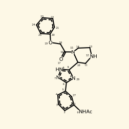 CC(=O)Nc1cccc(-c2n[nH]c(C3CNCCN3C(=O)COc3ccccc3)n2)c1